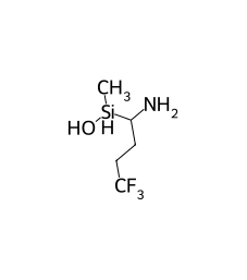 C[SiH](O)C(N)CCC(F)(F)F